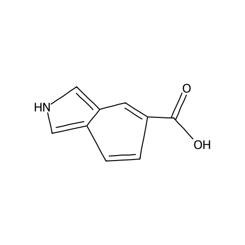 O=C(O)c1ccc2c[nH]cc2c1